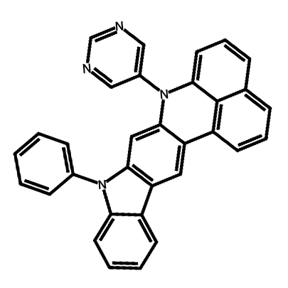 c1ccc(-n2c3ccccc3c3cc4c(cc32)N(c2cncnc2)c2cccc3cccc-4c23)cc1